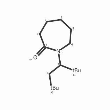 CC(C)(C)CC(N1CCCCCC1=O)C(C)(C)C